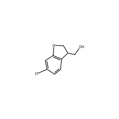 OCC1COc2cc(Cl)ccc21